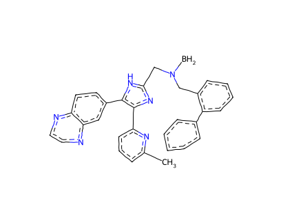 BN(Cc1nc(-c2cccc(C)n2)c(-c2ccc3nccnc3c2)[nH]1)Cc1ccccc1-c1ccccc1